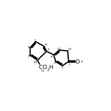 O=C1C=CC(c2ccccc2C(=O)O)=CC1